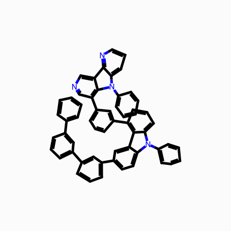 c1ccc(-c2cccc(-c3cccc(-c4ccc5c(c4)c4c(-c6cccc(-c7cncc8c9ncccc9n(-c9ccccc9)c78)c6)cccc4n5-c4ccccc4)c3)c2)cc1